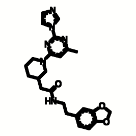 Cc1cc(N2CCCC(CC(=O)NCCc3ccc4c(c3)OCO4)C2)nc(-n2ccnc2)n1